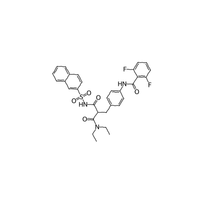 CCN(CC)C(=O)C(Cc1ccc(NC(=O)c2c(F)cccc2F)cc1)C(=O)NS(=O)(=O)c1ccc2ccccc2c1